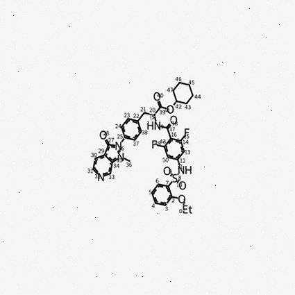 CCOc1ccccc1S(=O)(=O)Nc1cc(F)c(C(=O)N[C@@H](Cc2ccc(-n3c(=O)c4ccncc4n3C)cc2)C(=O)OC2CCCCC2)c(F)c1